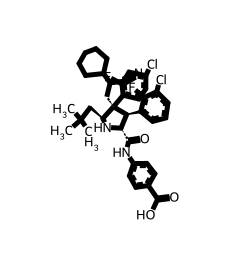 CC(C)(C)C[C@@H]1N[C@@H](C(=O)Nc2ccc(C(=O)O)cc2)[C@H](c2cccc(Cl)c2F)[C@]1(CC(C#N)C1CCCCC1)c1ccc(Cl)cc1F